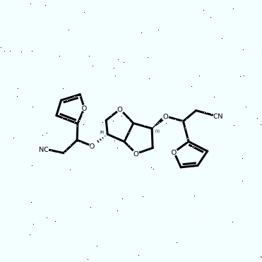 N#CCC(O[C@H]1COC2C1OC[C@H]2OC(CC#N)c1ccco1)c1ccco1